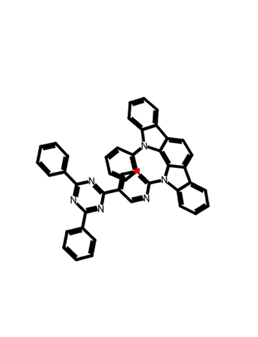 c1ccc(-c2nc(-c3ccccc3)nc(-c3cnc(-n4c5ccccc5c5ccc6c7ccccc7n(-c7ccccc7)c6c54)nc3)n2)cc1